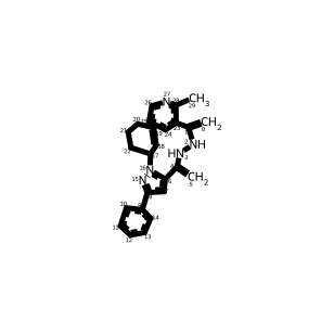 C=C(NNC(=C)c1cc(-c2ccccc2)nn1C1C=CCCC1)c1cccnc1C